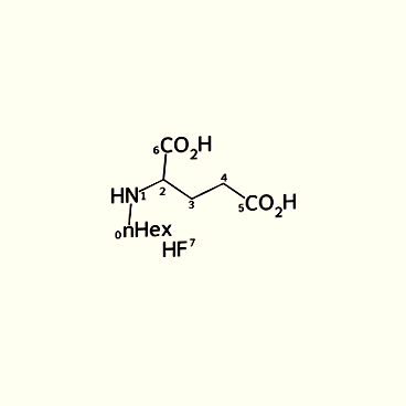 CCCCCCNC(CCC(=O)O)C(=O)O.F